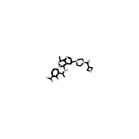 Cc1nnc(NC(C)c2cccc(C(F)F)c2F)c2cc(N3CCN(C(=O)C4COC4)CC3)cnc12